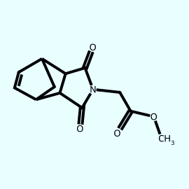 COC(=O)CN1C(=O)C2C3C=CC(C3)C2C1=O